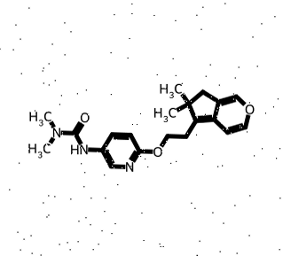 CN(C)C(=O)Nc1ccc(OCCC2=C3C=COC=C3CC2(C)C)nc1